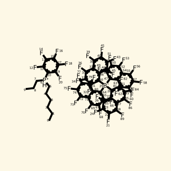 CCCCCC[PH+](CCC)c1c(F)c(F)c(F)c(F)c1F.Fc1c(F)c(F)c2c([B-](c3c(F)c(F)c(F)c4c(F)c(F)c(F)c(F)c34)(c3c(F)c(F)c(F)c4c(F)c(F)c(F)c(F)c34)c3c(F)c(F)c(F)c4c(F)c(F)c(F)c(F)c34)c(F)c(F)c(F)c2c1F